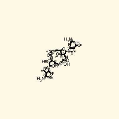 CO[C@H]1[C@H]2OP(=O)(O)OC[C@H]3O[C@@H](n4ncc5c(N)nnnc54)[C@H](O)[C@@H]3OP(=O)(O)OC[C@H]1O[C@H]2n1cnc2c(=O)[nH]c(N)nc21